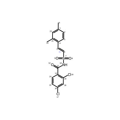 Cc1ccc(/C=C/S(=O)(=O)NC(=O)c2ccc(Cl)cc2Cl)c(C)c1